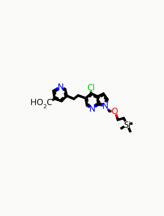 C[Si](C)(C)CCOCn1ccc2c(Cl)c(CCc3cncc(C(=O)O)c3)cnc21